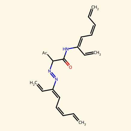 C=C\C=C/C=C(C=C)/N=N/C(C(C)=O)C(=O)N/C(C=C)=C/C=C\C=C